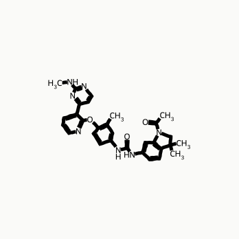 CNc1nccc(-c2cccnc2Oc2ccc(NC(=O)Nc3ccc4c(c3)N(C(C)=O)CC4(C)C)cc2C)n1